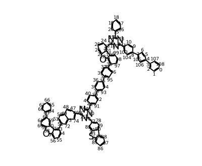 c1ccc(-c2ccc(-c3ccc(-c4nc(-c5ccccc5)nc(-c5cccc6oc7c(-c8ccc(-c9ccc(-c%10ccc(-c%11nc(-c%12ccc%13ccc(-c%14cccc%15oc%16ccc(-c%17ccccc%17)cc%16c%14%15)cc%13c%12)nc(-c%12ccc%13c(c%12)sc%12ccccc%12%13)n%11)cc%10)cc9)cc8)cccc7c56)n4)cc3)cc2)cc1